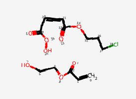 C=CC(=O)OCCO.O=C(/C=C\C(=O)OCCCCl)OO